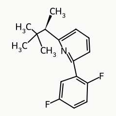 C[C@@H](c1cccc(-c2cc(F)ccc2F)n1)C(C)(C)C